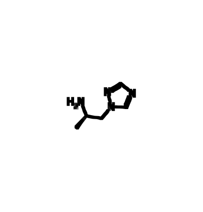 C[C@@H](N)Cn1cncn1